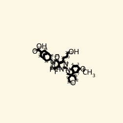 COc1ccc2c(c1)C1(CCOCC1)CN2c1nc(CCCO)c(C(=O)NC2CC3CC(C2)CC(C(=O)O)C3)c(C(F)(F)F)n1